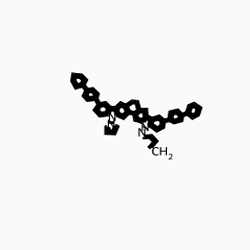 C=C/C=C\C=N/n1c2ccc(-c3ccc(-c4ccccc4)cc3)cc2c2cc3c(cc21)-c1cc2c(cc1CC3)c1cc(-c3ccc(-c4ccccc4)cc3)ccc1n2-n1cccc1